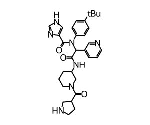 CC(C)(C)c1ccc(N(C(=O)c2c[nH]cn2)C(C(=O)NC2CCCN(C(=O)C3CCNC3)C2)c2cccnc2)cc1